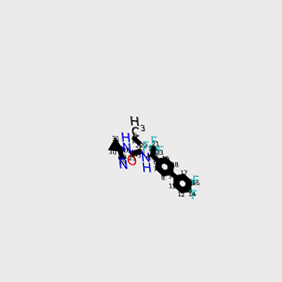 CCC[C@H](N[C@@H](c1ccc(-c2ccc(F)c(F)c2)cc1)C(F)(F)F)C(=O)NC1(C#N)CC1